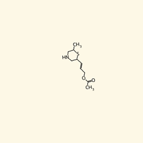 CC(=O)OCC=CC1CNCC(C)S1